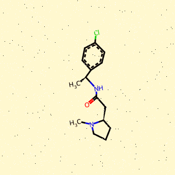 C[C@H](NC(=O)C[C@H]1CCCN1C)c1ccc(Cl)cc1